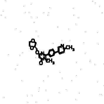 Cc1ccc(-c2ccc(-c3nc(OC[C@H]4COCCO4)cc(=O)n3C)cc2)cn1